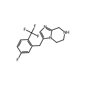 Fc1ccc(C(F)(F)F)c(Cc2cnc3n2CCNC3)c1